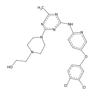 Cc1nc(Nc2ccc(Oc3ccc(Cl)c(Cl)c3)cn2)nc(N2CCN(CCO)CC2)n1